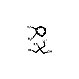 Cc1ccccc1P.NC(CO)(CO)CO